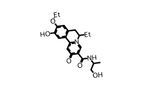 CCOc1cc2c(cc1O)-c1cc(=O)c(C(=O)NC(C)CO)cn1C(CC)C2